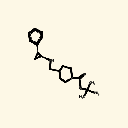 CC(C)(C)OC(=O)N1CCC(CN[C@H]2C[C@@H]2c2ccccc2)CC1